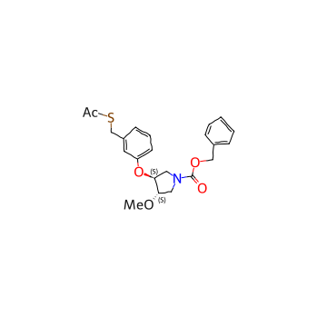 CO[C@H]1CN(C(=O)OCc2ccccc2)C[C@@H]1Oc1cccc(CSC(C)=O)c1